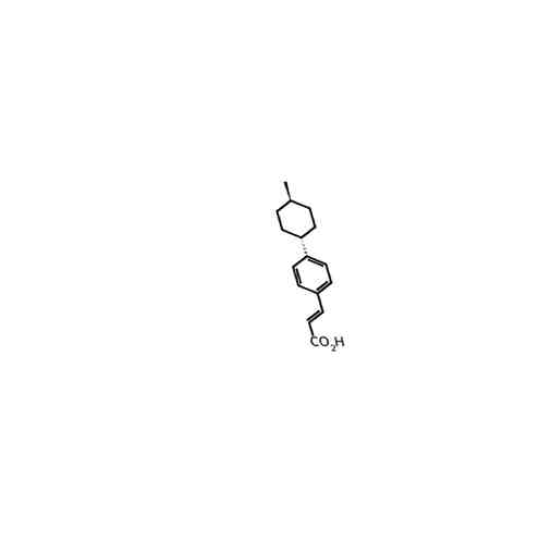 C[C@H]1CC[C@H](c2ccc(C=CC(=O)O)cc2)CC1